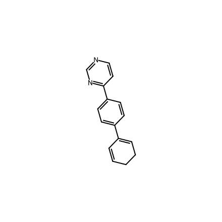 C1=CC(c2ccc(-c3ccncn3)cc2)=CCC1